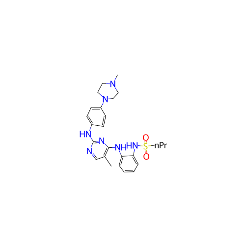 CCCS(=O)(=O)Nc1ccccc1Nc1nc(Nc2ccc(N3CCN(C)CC3)cc2)ncc1C